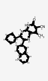 Cc1c(C#N)c(=O)[nH]c2nc(-c3ccccc3)c(-c3ccc4ncccc4c3)nc12